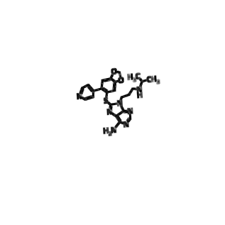 CC(C)NCCCn1c(Sc2cc3c(cc2-c2ccncc2)OCO3)nc2c(N)ncnc21